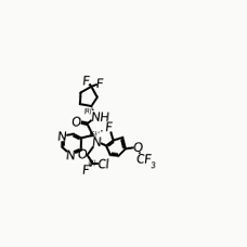 C[C@@](C(=O)N[C@@H]1CCC(F)(F)C1)(c1cncnc1)N(C(=O)[C@H](F)Cl)c1ccc(OC(F)(F)F)cc1F